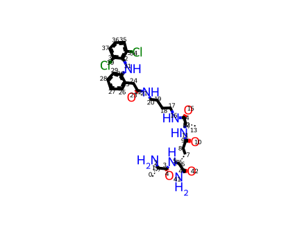 C[C@H](N)C(=O)N[C@H](CCC(=O)N[C@@H](C)C(=O)NCCCCNC(=O)Cc1ccccc1Nc1c(Cl)cccc1Cl)C(N)=O